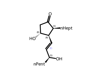 CCCCCCC[C@@H]1C(=O)C[C@@H](O)[C@@H]1/C=C/[C@@H](O)CCCCC